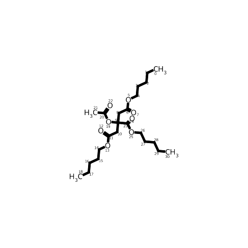 CCCCCOC(=O)CC(CC(=O)OCCCCC)(OC(C)=O)C(=O)OCCCCC